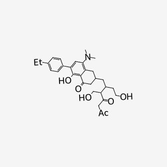 CCc1ccc(-c2cc(N(C)C)c3c(c2O)C(=O)CC(CC(CCO)C(CO)C(=O)CC(C)=O)C3)cc1